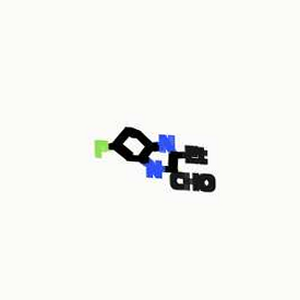 CCc1nc2ccc(F)cc2nc1C=O